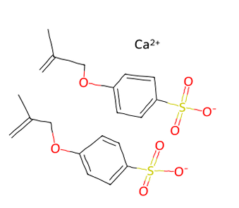 C=C(C)COc1ccc(S(=O)(=O)[O-])cc1.C=C(C)COc1ccc(S(=O)(=O)[O-])cc1.[Ca+2]